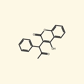 CC(=O)C(c1ccccc1)c1c(O)c2ccccc2oc1=O